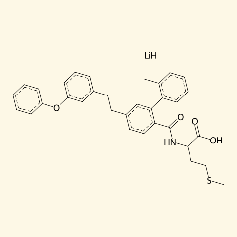 CSCCC(NC(=O)c1ccc(CCc2cccc(Oc3ccccc3)c2)cc1-c1ccccc1C)C(=O)O.[LiH]